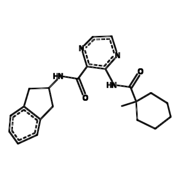 CC1(C(=O)Nc2nccnc2C(=O)NC2Cc3ccccc3C2)CCCCC1